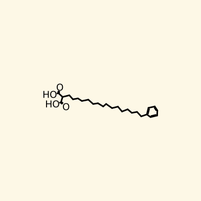 O=C(O)C(CCCCCCCCCCCCCCCCc1ccccc1)C(=O)O